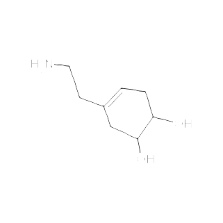 NCCC1=CCC(O)C(O)C1